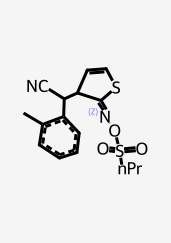 CCCS(=O)(=O)O/N=C1\SC=CC1C(C#N)c1ccccc1C